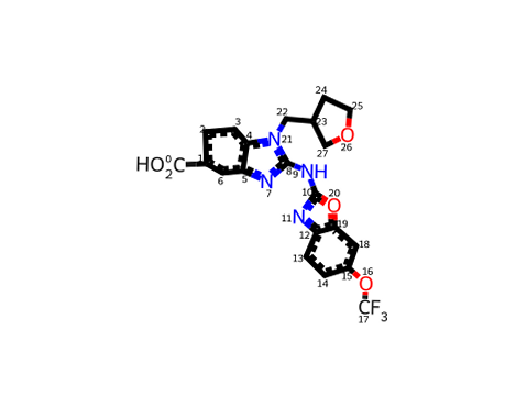 O=C(O)c1ccc2c(c1)nc(Nc1nc3ccc(OC(F)(F)F)cc3o1)n2CC1CCOC1